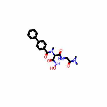 CN(C)C(=O)CNC(=O)C(C(=O)NO)N(C)C(=O)c1ccc(-c2ccccc2)cc1